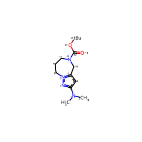 CN(C)c1cc2n(n1)CCCN(C(=O)OC(C)(C)C)C2